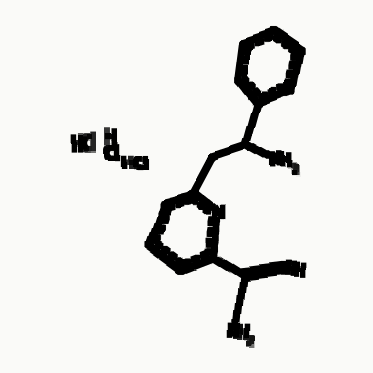 Cl.Cl.Cl.N=C(N)c1cccc(CC(N)c2ccccc2)n1